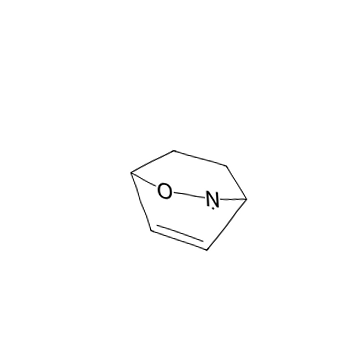 C1=CC2CCC1[N]O2